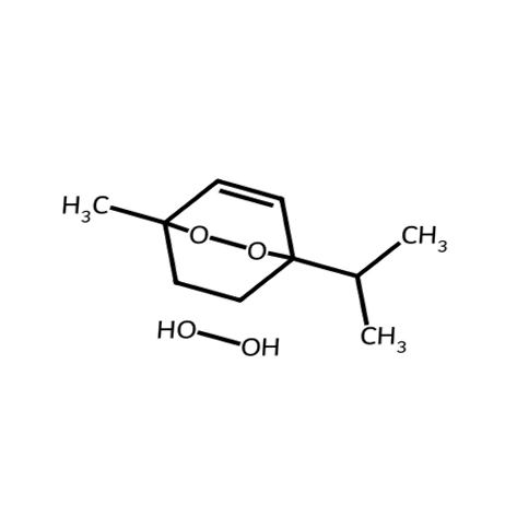 CC(C)C12C=CC(C)(CC1)OO2.OO